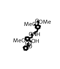 COC(=O)c1ccc(CCNC(=O)Cc2ccc(OC)c(OS(=O)(=O)c3ccccc3)c2CO)cc1OC